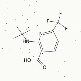 CC(C)(C)Nc1nc(C(F)(F)F)ccc1C(=O)O